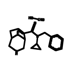 O=C(C1=CCC2CNCC1N2)N(Cc1ccccc1)C1CC1.O=CO